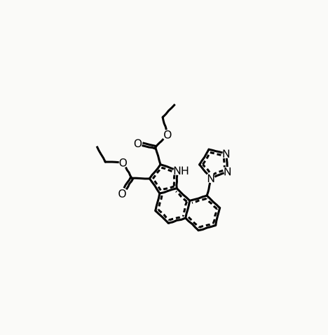 CCOC(=O)c1[nH]c2c(ccc3cccc(-n4ccnn4)c32)c1C(=O)OCC